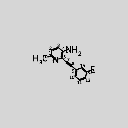 Cc1ccc(N)c(C#Cc2cccc(F)c2)n1